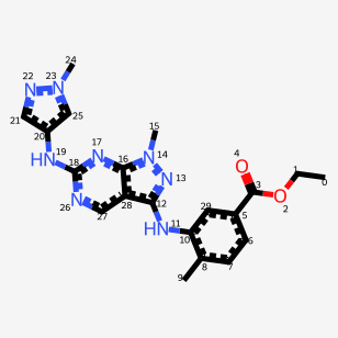 CCOC(=O)c1ccc(C)c(Nc2nn(C)c3nc(Nc4cnn(C)c4)ncc23)c1